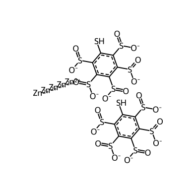 O=S([O-])c1c(S)c(S(=O)[O-])c(S(=O)[O-])c(S(=O)[O-])c1S(=O)[O-].O=S([O-])c1c(S)c(S(=O)[O-])c(S(=O)[O-])c(S(=O)[O-])c1S(=O)[O-].[Zn+2].[Zn+2].[Zn+2].[Zn+2].[Zn+2]